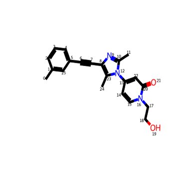 Cc1cccc(C#Cc2nc(C)n(-c3ccn(CCO)c(=O)c3)c2C)c1